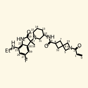 C=CC(=O)N1CC2(CC(C(=O)N[C@@H]3CCCN(C4(C)C(=O)Nc5c(NCC)cc(F)cc54)C3)C2)C1